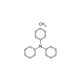 C.c1ccc(N(c2ccccc2)c2ccccc2)cc1